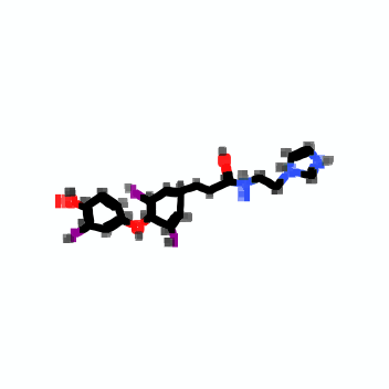 O=C(CCc1cc(I)c(Oc2ccc(O)c(I)c2)c(I)c1)NCCn1ccnc1